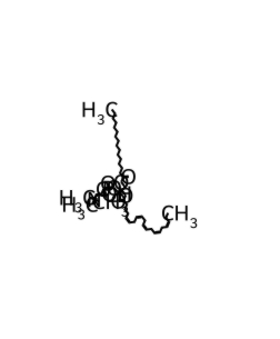 CC/C=C\C/C=C\C/C=C\C/C=C\C/C=C\CCCC(=O)O[C@H](COC(=O)CCCCCCCCCCCCCCC)COP(=O)(O)OCC[N+](C)(C)C